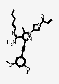 C=CC(=O)N1CC(n2nc(C#Cc3cc(OC)cc(OC)c3)c(/C(N)=N\C=C\CCC)c2C)C1